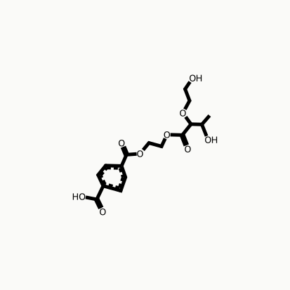 CC(O)C(OCCO)C(=O)OCCOC(=O)c1ccc(C(=O)O)cc1